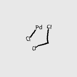 ClCCl.[Cl][Pd]